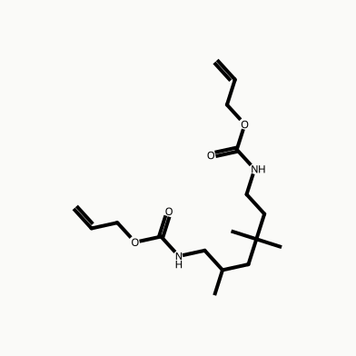 C=CCOC(=O)NCCC(C)(C)CC(C)CNC(=O)OCC=C